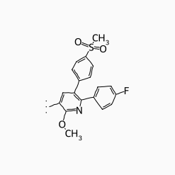 [C]c1cc(-c2ccc(S(C)(=O)=O)cc2)c(-c2ccc(F)cc2)nc1OC